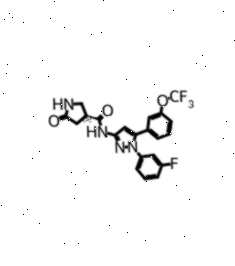 O=C1C[C@H](C(=O)Nc2cc(-c3cccc(OC(F)(F)F)c3)n(-c3cccc(F)c3)n2)CN1